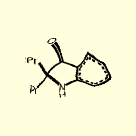 CC(C)C1(C(C)C)Nc2ccccc2C1=O